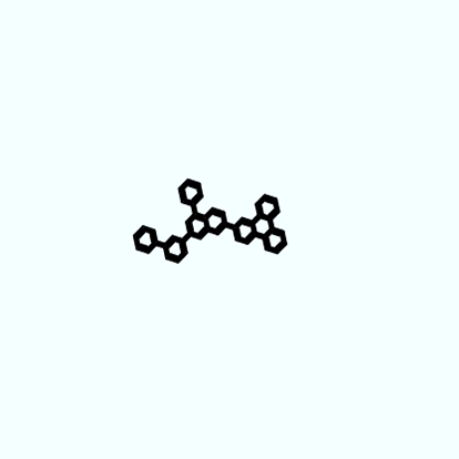 c1ccc(-c2cccc(-c3cc(-c4ccccc4)c4ccc(-c5ccc6c7ccccc7c7ccccc7c6c5)cc4c3)c2)cc1